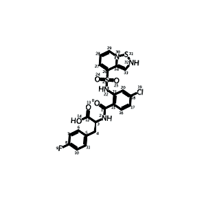 O=C(N[C@@H](Cc1ccc(F)cc1)C(=O)O)c1ccc(Cl)cc1NS(=O)(=O)C1=CC=CN2SNC=C12